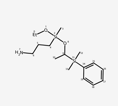 CCO[Si](C)(CCCN)OC(C)[Si](C)(C)c1ccccc1